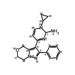 NC1N=C(c2c(-c3ccccc3)nn3c2COCC3)C=CN1C1CC1